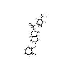 Cc1ccccc1CN1CC2CN(C(=O)n3cc(C(F)(F)F)cn3)CC2C1